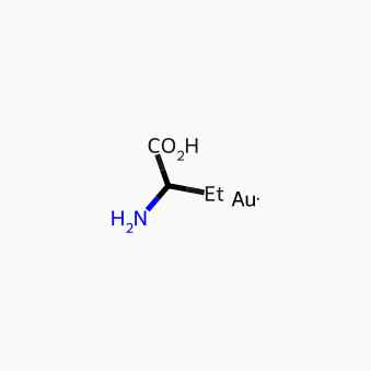 CCC(N)C(=O)O.[Au]